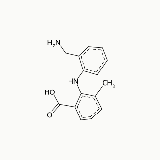 Cc1cccc(C(=O)O)c1Nc1ccccc1CN